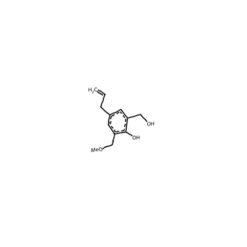 C=CCc1cc(CO)c(O)c(COC)c1